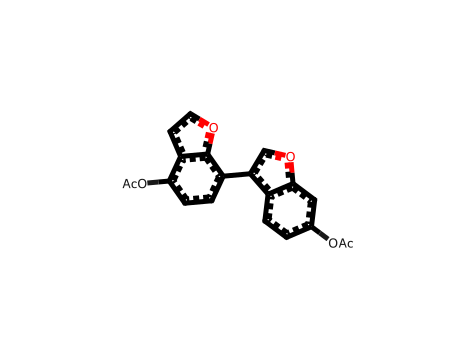 CC(=O)Oc1ccc2c(-c3ccc(OC(C)=O)c4ccoc34)coc2c1